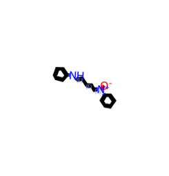 [O-]\[N+](=C/C=C/C=C/Nc1ccccc1)c1ccccc1